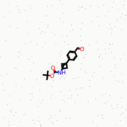 CC(C)(C)OC(=O)NC12CC(c3ccc(C=O)cc3)(C1)C2